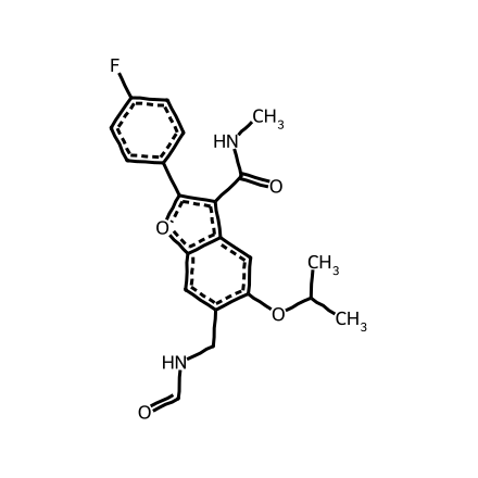 CNC(=O)c1c(-c2ccc(F)cc2)oc2cc(CNC=O)c(OC(C)C)cc12